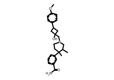 COc1ccc(C2CC(O)(CN3CCC(C)(c4cccc(C(N)=O)c4)C(C)C3)C2)cc1